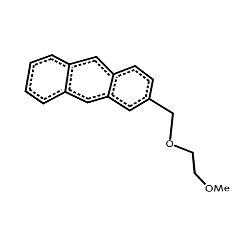 COCCOCc1ccc2cc3ccccc3cc2c1